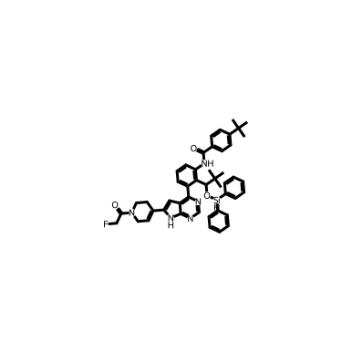 CC(C)(C)c1ccc(C(=O)Nc2cccc(-c3ncnc4[nH]c(C5=CCN(C(=O)CF)CC5)cc34)c2C(O[SiH](c2ccccc2)c2ccccc2)C(C)(C)C)cc1